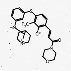 O=C(C=Cc1ccc(Sc2cccc(NC3CN4CCC3CC4)c2)c(C(F)(F)F)c1C(F)(F)F)N1CCOCC1